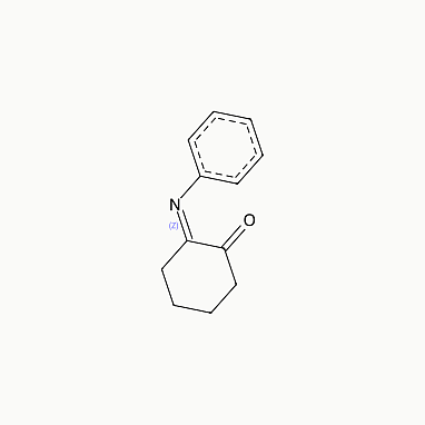 O=C1CCCC/C1=N/c1ccccc1